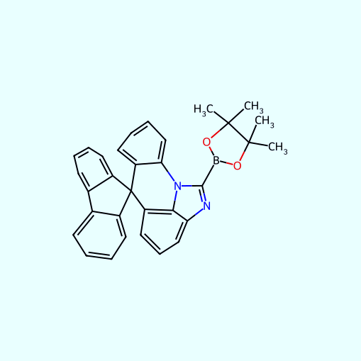 CC1(C)OB(c2nc3cccc4c3n2-c2ccccc2C42c3ccccc3-c3ccccc32)OC1(C)C